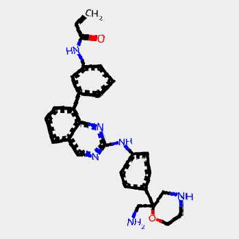 C=CC(=O)Nc1cccc(-c2cccc3cnc(Nc4ccc(C5(CN)CNCCO5)cc4)nc23)c1